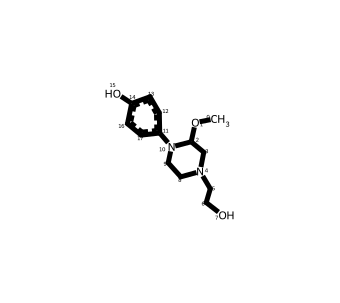 COC1CN(CCO)CCN1c1ccc(O)cc1